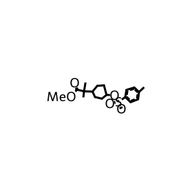 COC(=O)C(C)(C)C1CCC(OS(=O)(=O)c2ccc(C)cc2)CC1